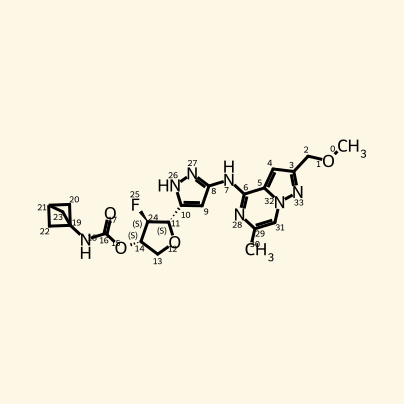 COCc1cc2c(Nc3cc([C@@H]4OC[C@H](OC(=O)NC56CC(C5)C6)[C@H]4F)[nH]n3)nc(C)cn2n1